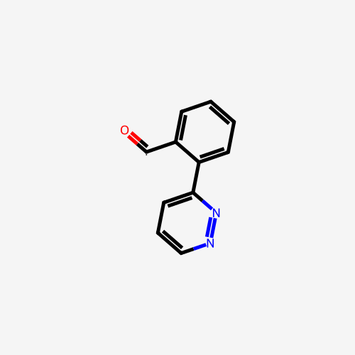 O=[C]c1ccccc1-c1cccnn1